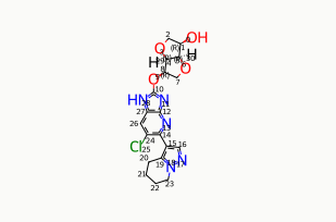 O[C@@H]1CO[C@H]2[C@@H]1OC[C@H]2Oc1nc2nc(-c3cnn4c3CCCC4)c(Cl)cc2[nH]1